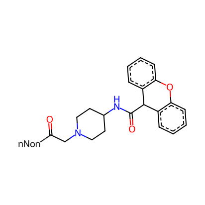 CCCCCCCCCC(=O)CN1CCC(NC(=O)C2c3ccccc3Oc3ccccc32)CC1